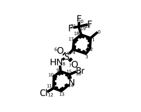 Cc1ccc(S(=O)(=O)Nc2cc(Cl)cnc2Br)cc1C(F)(F)F